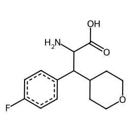 NC(C(=O)O)C(c1ccc(F)cc1)C1CCOCC1